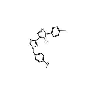 COc1ccc(Cn2nnc(-c3cnn(-c4ccc(C)cc4)c3Br)n2)cc1